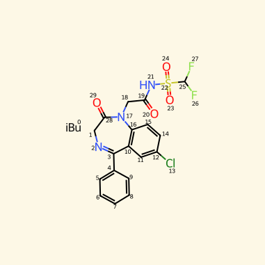 CC[C@H](C)C1N=C(c2ccccc2)c2cc(Cl)ccc2N(CC(=O)NS(=O)(=O)C(F)F)C1=O